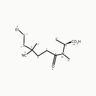 CCSSC(C)(C#N)CCC(=O)N(C)[C@@H](C)C(=O)O